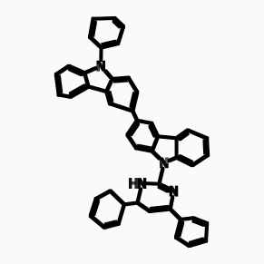 C1=CCC(C2C=C(c3ccccc3)N=C(n3c4ccccc4c4cc(-c5ccc6c(c5)c5ccccc5n6-c5ccccc5)ccc43)N2)C=C1